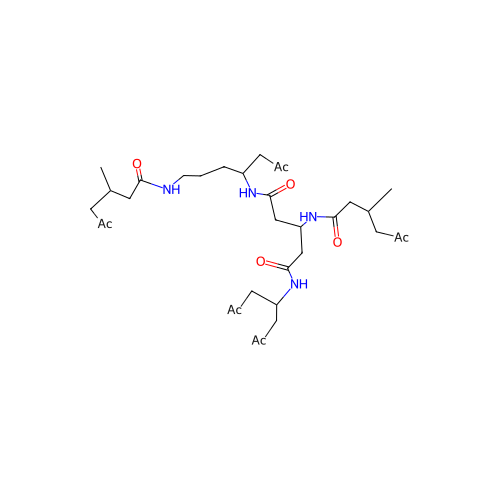 CC(=O)CC(C)CC(=O)NCCCC(CC(C)=O)NC(=O)CC(CC(=O)NC(CC(C)=O)CC(C)=O)NC(=O)CC(C)CC(C)=O